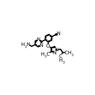 Cc1nn(CC(C)C)cc1Oc1cc(C#N)ccc1-c1ncc(CN)cn1